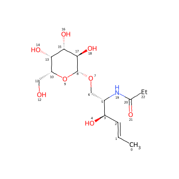 C/C=C/[C@@H](O)[C@H](CO[C@@H]1O[C@H](CO)[C@H](O)[C@H](O)[C@H]1O)NC(=O)CC